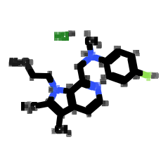 COCCn1c(C)c(C)c2ccnc(CN(C)c3ccc(F)cc3)c21.Cl